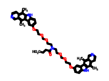 Cc1c2ccncc2c(C)c2c1[nH]c1ccc(OCCOCOCCN(CCOCOCCOc3ccc4[nH]c5c(C)c6ccncc6c(C)c5c4c3)C(=O)CCC(=O)O)cc12